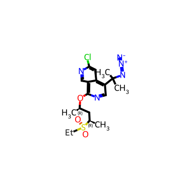 CCS(=O)(=O)[C@H](C)C[C@@H](C)Oc1ncc(C(C)(C)N=[N+]=[N-])c2cc(Cl)ncc12